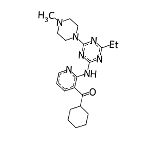 CCc1nc(Nc2ncccc2C(=O)C2CCCCC2)nc(N2CCN(C)CC2)n1